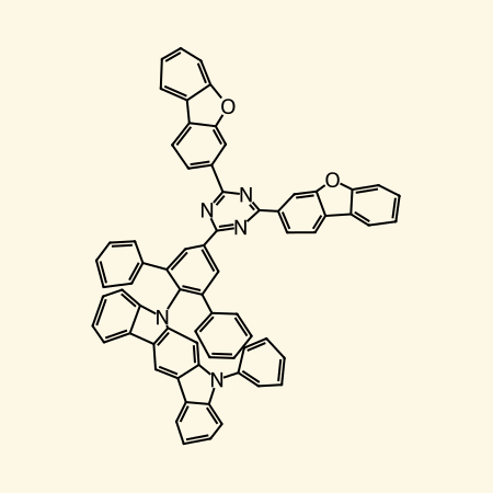 c1ccc(-c2cc(-c3nc(-c4ccc5c(c4)oc4ccccc45)nc(-c4ccc5c(c4)oc4ccccc45)n3)cc(-c3ccccc3)c2-n2c3ccccc3c3cc4c5ccccc5n(-c5ccccc5)c4cc32)cc1